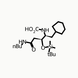 CCCCNC(=O)C[C@H](O[Si](C)(C)C(C)(C)C)[C@H](CC1CCCCC1)NC(=O)O